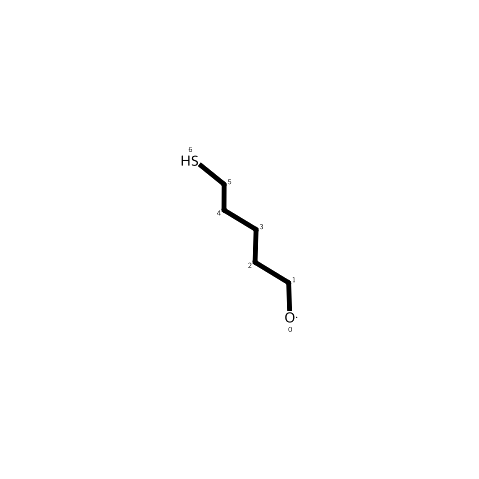 [O]CCCCCS